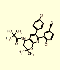 CC1(C)CC(NC(=O)C(C)(C)O)c2cc(-c3ccc(Cl)cc3)c(-c3cc(C#N)ccc3Cl)nc2O1